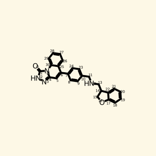 O=c1[nH]nc2cc(-c3ccc(CNCC4COc5ccccc54)cc3)c3ccccc3n12